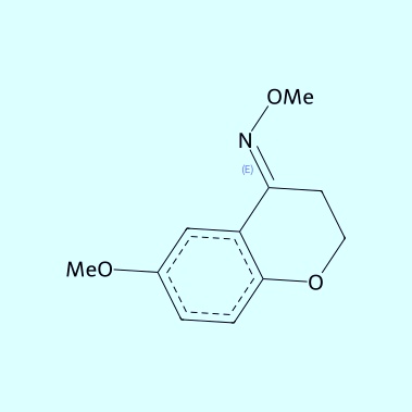 CO/N=C1\CCOc2ccc(OC)cc21